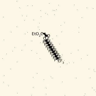 CCOC(=O)CC(=O)OC(F)(F)C(F)(F)C(F)(F)C(F)(F)C(F)(F)C(F)(F)C(F)(F)C(F)(F)C(F)(F)C(F)(F)F